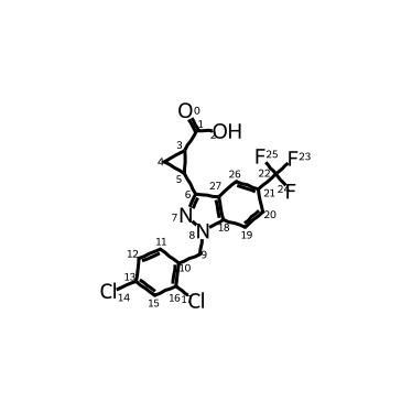 O=C(O)C1CC1c1nn(Cc2ccc(Cl)cc2Cl)c2ccc(C(F)(F)F)cc12